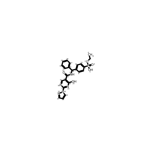 CCOP(=O)(O)c1ccc(C(NC(=O)c2cnc(-n3cccn3)nc2O)c2ccccc2)cc1